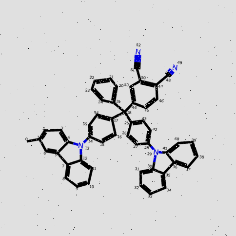 Cc1ccc2c(c1)c1ccccc1n2-c1ccc(C(c2ccccc2)(c2ccc(-n3c4ccccc4c4ccccc43)cc2)c2ccc(C#N)c(C#N)c2)cc1